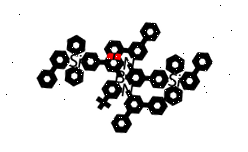 CC(C)(C)c1ccc2c(c1)N(c1cc(-c3ccccc3)cc(-c3ccccc3)c1)c1cc(-c3ccc([Si](c4ccccc4)(c4ccccc4)c4cccc(-c5ccccc5)c4)cc3)cc3c1B2c1cc(-c2ccc([Si](c4ccccc4)(c4ccccc4)c4cccc(-c5ccccc5)c4)cc2)ccc1N3c1ccc(-c2ccccc2)cc1-c1ccccc1